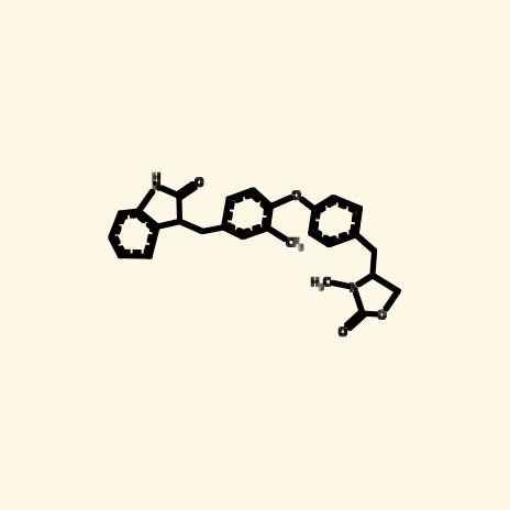 CN1C(=O)OCC1Cc1ccc(Oc2ccc(CC3C(=O)Nc4ccccc43)cc2C(F)(F)F)cc1